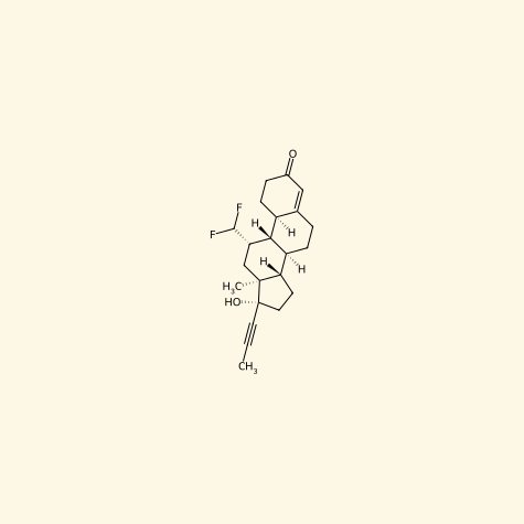 CC#C[C@]1(O)CC[C@H]2[C@@H]3CCC4=CC(=O)CC[C@@H]4[C@H]3[C@@H](C(F)F)C[C@@]21C